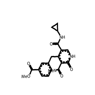 CNC(=O)c1c(Cc2cccc(C(=O)OC)c2)c(C(=O)NC2CC2)c[nH]c1=O